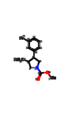 CCOC(=O)C1CN(C(=O)OC(C)(C)C)CC1c1cccc(C(C)C)c1